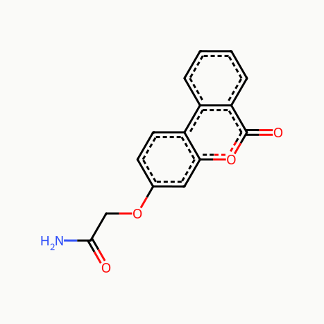 NC(=O)COc1ccc2c(c1)oc(=O)c1ccccc12